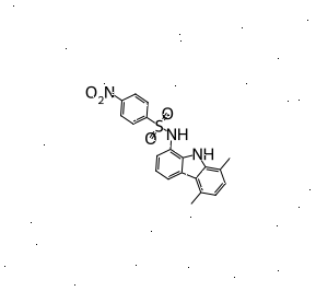 Cc1ccc(C)c2c1[nH]c1c(NS(=O)(=O)c3ccc([N+](=O)[O-])cc3)cccc12